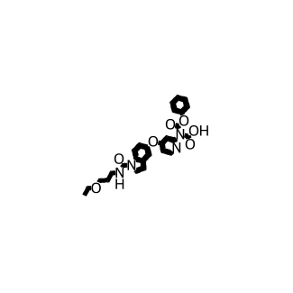 CCOCCCNC(=O)n1ccc2cc(Oc3ccnc(N(C(=O)O)C(=O)Oc4ccccc4)c3)ccc21